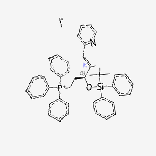 C/C(=C\c1ccccn1)[C@H](CC[P+](c1ccccc1)(c1ccccc1)c1ccccc1)O[Si](c1ccccc1)(c1ccccc1)C(C)(C)C.[I-]